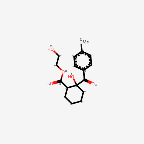 COc1ccc(C(=O)C2(O)CCCCC2C(=O)OCCO)cc1